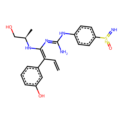 C=C/C(=C(\N=C(/N)Nc1ccc([SH](=N)=O)cc1)N[C@H](C)CO)c1cccc(O)c1